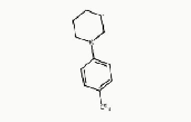 FC(F)(F)c1ccc(N2C[CH]CCC2)cc1